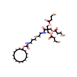 O=C(CCS)OCC(COC(=O)CCS)(COC(=O)CCS)C(=O)NCCSCCCNC(=O)OC1CCCCCCCCCCCC1